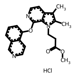 COC(=O)CCn1c(C)c(C)c2ccnc(Oc3cccc4cnccc34)c21.Cl